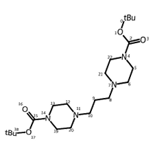 CC(C)(C)OC(=O)N1CCN(CCCN2CCN(C(=O)OC(C)(C)C)CC2)CC1